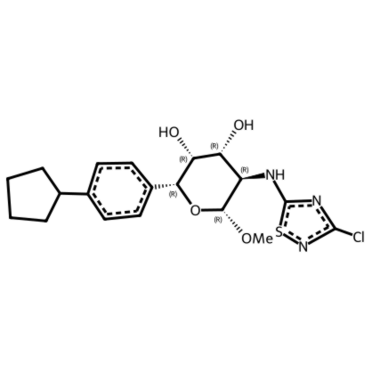 CO[C@@H]1O[C@H](c2ccc(C3CCCC3)cc2)[C@H](O)[C@H](O)[C@H]1Nc1nc(Cl)ns1